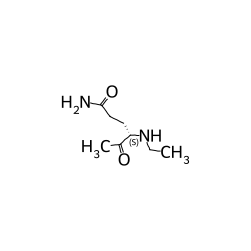 CCN[C@@H](CCC(N)=O)C(C)=O